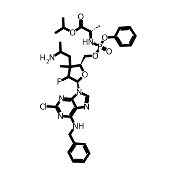 CC(N)CC1(C)C(F)[C@H](n2cnc3c(NCc4ccccc4)nc(Cl)nc32)O[C@@H]1COP(=O)(N[C@@H](C)C(=O)OC(C)C)Oc1ccccc1